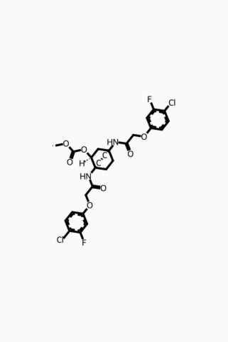 [CH2]OC(=O)O[C@H]1CC2(NC(=O)COc3ccc(Cl)c(F)c3)CCC1(NC(=O)COc1ccc(Cl)c(F)c1)CC2